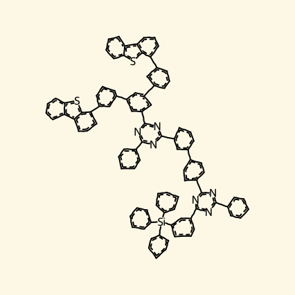 c1ccc(-c2nc(-c3cccc(-c4ccc(-c5nc(-c6ccccc6)nc(-c6cccc([Si](c7ccccc7)(c7ccccc7)c7ccccc7)c6)n5)cc4)c3)nc(-c3cc(-c4cccc(-c5cccc6c5sc5ccccc56)c4)cc(-c4cccc(-c5cccc6c5sc5ccccc56)c4)c3)n2)cc1